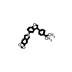 CC(C)c1ccc(C2COc3ccc(N4Cc5cc6c(cc5C4)OCO6)cc32)cc1